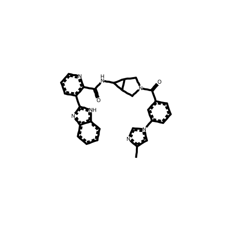 Cc1cn(-c2cccc(C(=O)N3CC4C(C3)C4NC(=O)c3ncccc3-c3nc4ccccc4[nH]3)c2)cn1